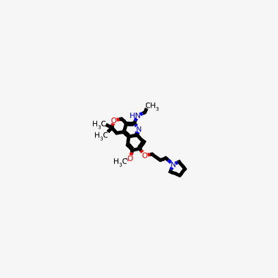 CCNc1nc2cc(OCCCN3CCCC3)c(OC)cc2c2c1COC(C)(C)C2